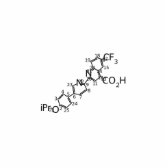 CC(C)Oc1ccc(-c2ccc(-c3cc(C(=O)O)c4cc(C(F)(F)F)ccc4n3)nc2)cc1